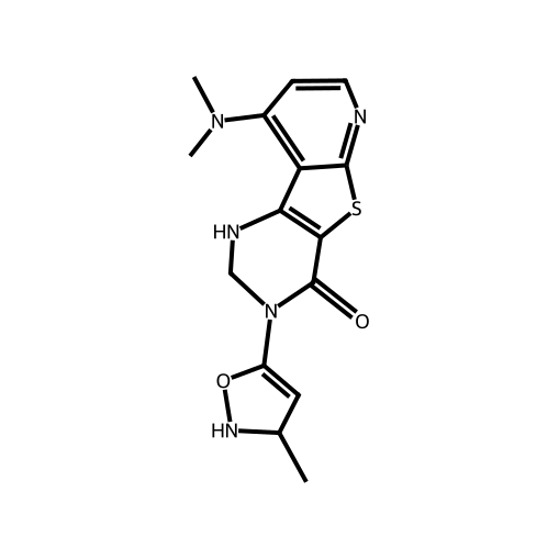 CC1C=C(N2CNc3c(sc4nccc(N(C)C)c34)C2=O)ON1